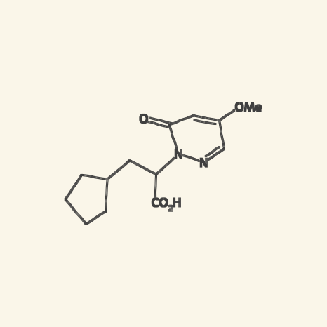 COc1cnn(C(CC2CCCC2)C(=O)O)c(=O)c1